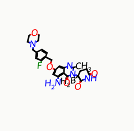 BC1(n2c(C)nc3cc(OCc4ccc(CN5CCOCC5)cc4F)cc(N)c3c2=O)CCC(=O)NC1=O